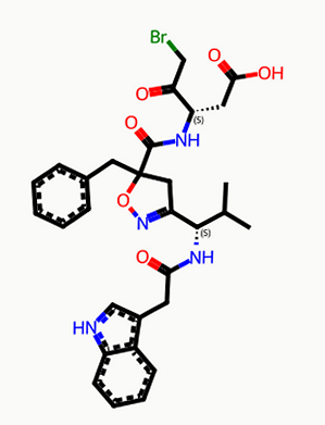 CC(C)[C@H](NC(=O)Cc1c[nH]c2ccccc12)C1=NOC(Cc2ccccc2)(C(=O)N[C@@H](CC(=O)O)C(=O)CBr)C1